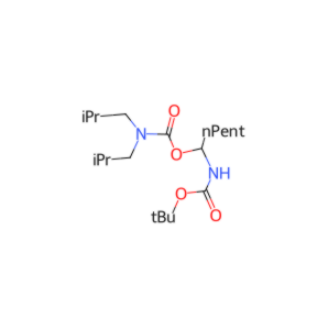 CCCCCC(NC(=O)OC(C)(C)C)OC(=O)N(CC(C)C)CC(C)C